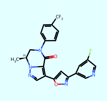 C[C@H]1CN(c2ccc(C(F)(F)F)cc2)C(=O)c2c(-c3cc(-c4cncc(F)c4)no3)cnn21